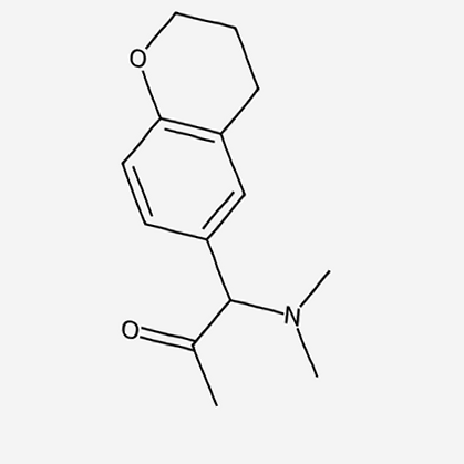 CC(=O)C(c1ccc2c(c1)CCCO2)N(C)C